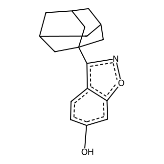 Oc1ccc2c(C34CC5CC(CC(C5)C3)C4)noc2c1